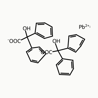 O=C([O-])C(O)(c1ccccc1)c1ccccc1.O=C([O-])C(O)(c1ccccc1)c1ccccc1.[Pb+2]